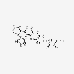 CCC(=O)N(CCNC(=O)[C@H](C)CS)Cc1ccc(-c2ccccc2-c2nnn[nH]2)cc1